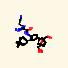 CC1(C)CC=C(c2cc(C3C[C@]4(CO)CC[C@](CO)(C3)O4)ccc2NC(=O)/C(N)=N/CC#N)CC1